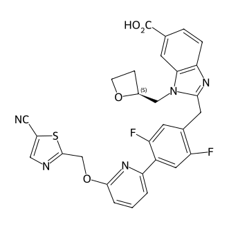 N#Cc1cnc(COc2cccc(-c3cc(F)c(Cc4nc5ccc(C(=O)O)cc5n4C[C@@H]4CCO4)cc3F)n2)s1